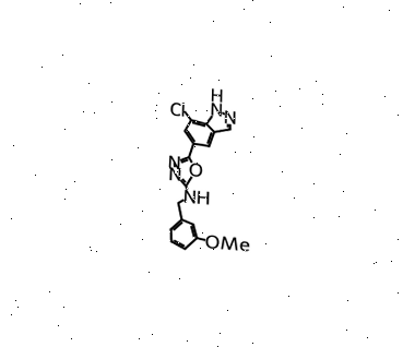 COc1cccc(CNc2nnc(-c3cc(Cl)c4[nH]ncc4c3)o2)c1